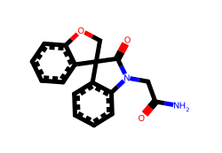 NC(=O)CN1C(=O)C2(COc3ccccc32)c2ccccc21